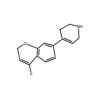 FC1=CCOc2cc(C3=CCNCC3)ccc21